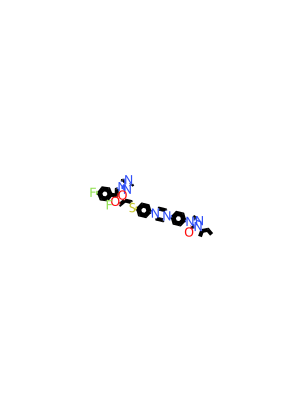 CCC(C)n1ncn(-c2ccc(N3CCN(c4ccc(SCC5COC(Cn6cncn6)(c6ccc(F)cc6F)O5)cc4)CC3)cc2)c1=O